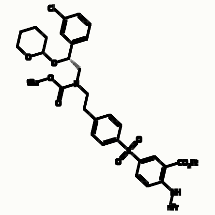 CCCNc1ccc(S(=O)(=O)c2ccc(CCN(C[C@H](OC3CCCCO3)c3cccc(Cl)c3)C(=O)OC(C)(C)C)cc2)cc1C(=O)OCC